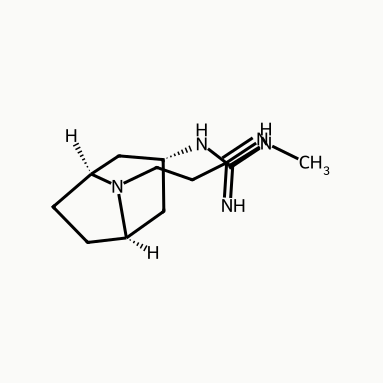 CNC(=N)N[C@@H]1C[C@H]2CC[C@@H](C1)N2CCC#N